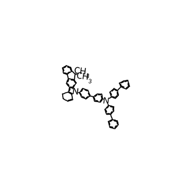 CC1(C)c2ccccc2-c2cc3c4c(n(-c5ccc(-c6ccc(N(c7ccc(-c8ccccc8)cc7)c7ccc(-c8ccccc8)cc7)cc6)cc5)c3cc21)C=CCC4